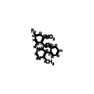 Cc1ncnc(Nc2c(F)cc(F)cc2[N+](=O)[O-])c1-c1ccccc1Cl